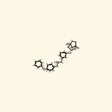 CN1[C@@H]2CC[C@H]1C[C@@H](Oc1cccc(CNCc3ccc(Oc4ccccc4)cc3)c1)C2